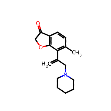 C=C(CN1CCCCC1)c1c(C)ccc2c1OCC2=O